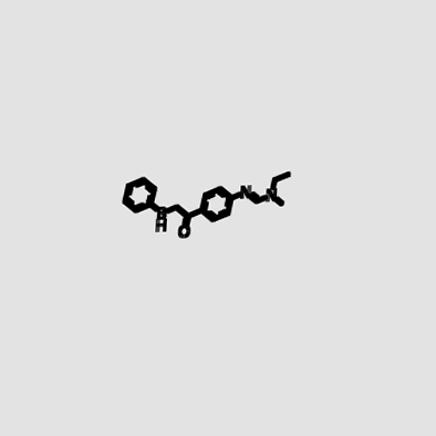 CCN(C)/C=N/c1ccc(C(=O)CBc2ccccc2)cc1